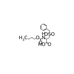 CCCCOC(=O)NC(CS(=O)(=O)Cc1ccccc1)C(=O)O